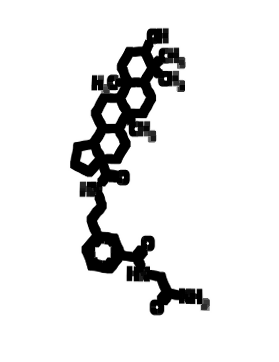 CC1(C)C(O)CCC2(C)C1CCC1(C)C3CCC4(C(=O)NCCc5cccc(C(=O)NCC(N)=O)c5)CCCC4C3CCC12